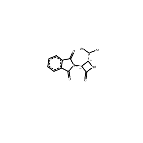 CC(=O)C(C(C)=O)[C@@H]1NC(=O)[C@H]1N1C(=O)c2ccccc2C1=O